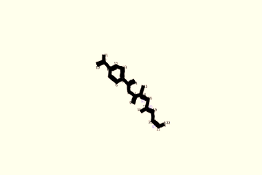 C=C(CC(=C)c1ccc(C(=C)C)cc1)\C(C)=C/C(C)=C/C=C\I